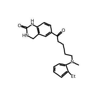 CCc1ccccc1N(C)CCCCC(=O)c1ccc2c(c1)CNC(=O)N2